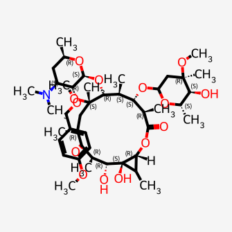 COc1ccc(CO[C@H]2[C@H](O[C@@H]3[C@@H](C)[C@H](OC4C[C@@](C)(OC)[C@@H](O)[C@H](C)O4)[C@@H](C)C(=O)O[C@@H]4C(C)[C@]4(O)[C@H](O)[C@@H](C)C(=O)[C@H](C)C[C@]3(C)OC)O[C@H](C)C[C@@H]2N(C)C)cc1